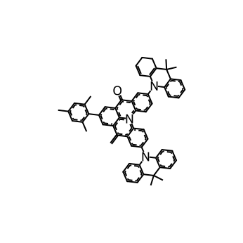 C=c1c2cc(N3c4ccccc4C(C)(C)c4ccccc43)ccc2n2c3ccc(N4C5=C(CCC=C5)C(C)(C)c5ccccc54)cc3c(=O)c3cc(-c4c(C)cc(C)cc4C)cc1c32